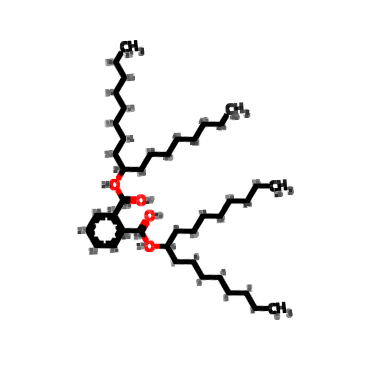 CCCCCCCCC(CCCCCCCC)OC(=O)c1ccccc1C(=O)OC(CCCCCCCC)CCCCCCCC